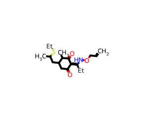 C=CCONC(CC)=C1C(=O)CC(CC(C)SCC)C(C)C1=O